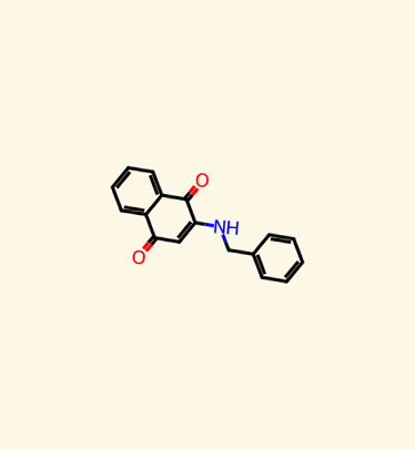 O=C1C=C(NCc2ccccc2)C(=O)c2ccccc21